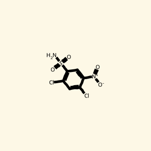 NS(=O)(=O)c1cc([N+](=O)[O-])c(Cl)cc1Cl